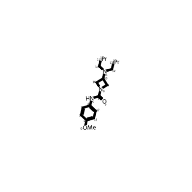 COc1ccc(NC(=O)N2CC(N(CC(C)C)CC(C)C)C2)cc1